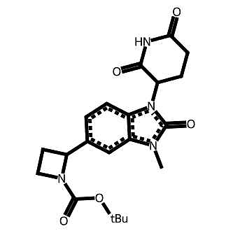 Cn1c(=O)n(C2CCC(=O)NC2=O)c2ccc(C3CCN3C(=O)OC(C)(C)C)cc21